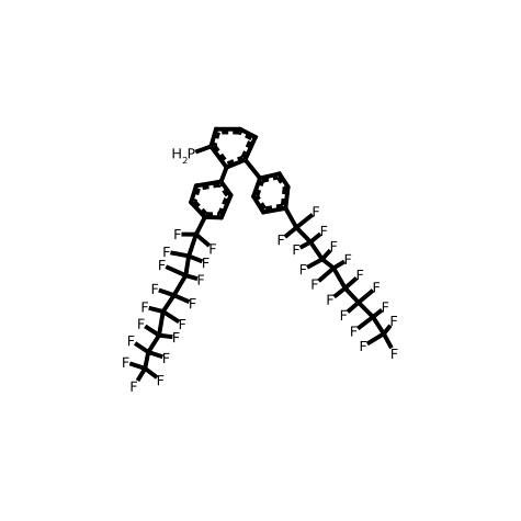 FC(F)(F)C(F)(F)C(F)(F)C(F)(F)C(F)(F)C(F)(F)C(F)(F)C(F)(F)c1ccc(-c2cccc(P)c2-c2ccc(C(F)(F)C(F)(F)C(F)(F)C(F)(F)C(F)(F)C(F)(F)C(F)(F)C(F)(F)F)cc2)cc1